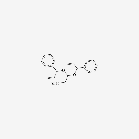 C=CC(OC(CCCCCCCCCCC)OC(C=C)c1ccccc1)c1ccccc1